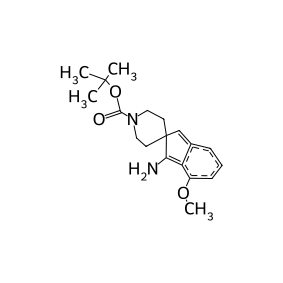 COc1cccc2c1=C(N)C1(C=2)CCN(C(=O)OC(C)(C)C)CC1